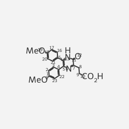 COc1ccc(-c2nc(CCC(=O)O)c(=O)[nH]c2-c2ccc(OC)cc2)cc1